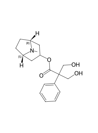 CN1[C@@H]2CC[C@H]1CC(OC(=O)C(CO)(CO)c1ccccc1)C2